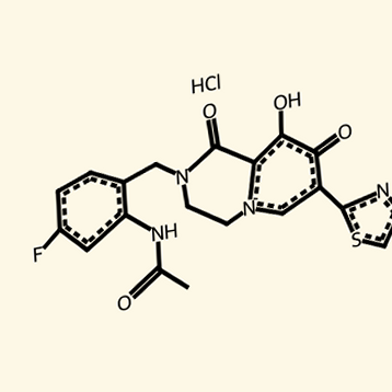 CC(=O)Nc1cc(F)ccc1CN1CCn2cc(-c3nccs3)c(=O)c(O)c2C1=O.Cl